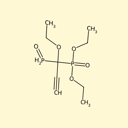 C#CC(OCC)([PH2]=O)P(=O)(OCC)OCC